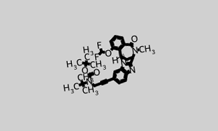 CN1C(=O)c2cccc(OC(F)F)c2[C@H]2CC1c1nc3ccc(C#CCN(C(=O)OC(C)(C)C)C(C)(C)C)cc3n12